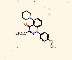 CCOC(=O)c1nn(-c2ccc(OC(F)(F)F)cc2)c2cccc(N3CCCCC3)c2c1=O